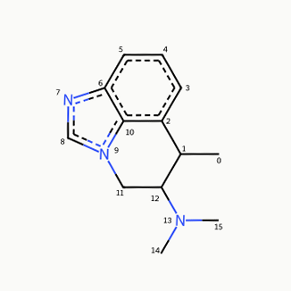 CC1c2cccc3ncn(c23)CC1N(C)C